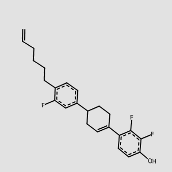 C=CCCCCc1ccc(C2CC=C(c3ccc(O)c(F)c3F)CC2)cc1F